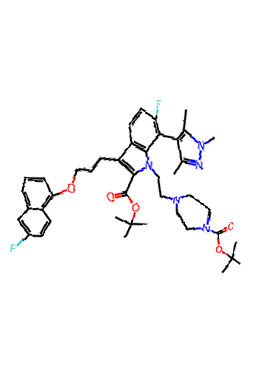 Cc1nn(C)c(C)c1-c1c(F)ccc2c(CCCOc3cccc4cc(F)ccc34)c(C(=O)OC(C)(C)C)n(CCN3CCN(C(=O)OC(C)(C)C)CC3)c12